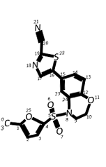 Cc1ccc(S(=O)(=O)N2CCOc3ccc(-c4cnc(C#N)s4)cc32)o1